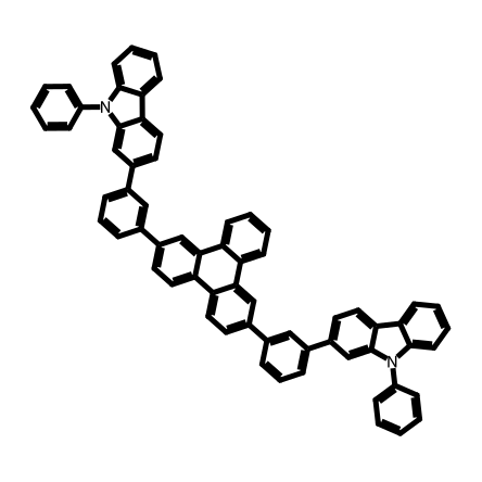 c1ccc(-n2c3ccccc3c3ccc(-c4cccc(-c5ccc6c7ccc(-c8cccc(-c9ccc%10c%11ccccc%11n(-c%11ccccc%11)c%10c9)c8)cc7c7ccccc7c6c5)c4)cc32)cc1